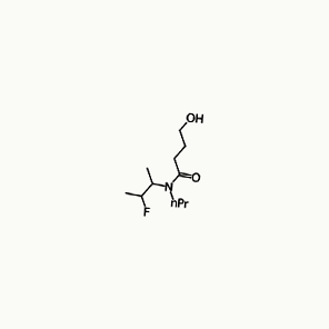 CCCN(C(=O)CCCO)C(C)C(C)F